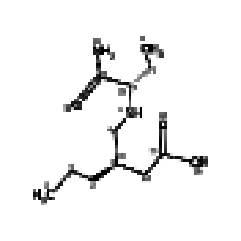 CCC[C@@H](CN[C@@H](CC)C(N)=O)CC(=O)O